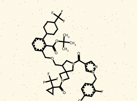 CC(C)(C)OC(=O)c1c(COCC2CN(C(=O)c3cnn(Cc4ccc(Cl)cc4F)c3)CC23CN(C(=O)C2(C(F)(F)F)CC2)C3)cccc1C1CCC(C(F)(F)F)CC1